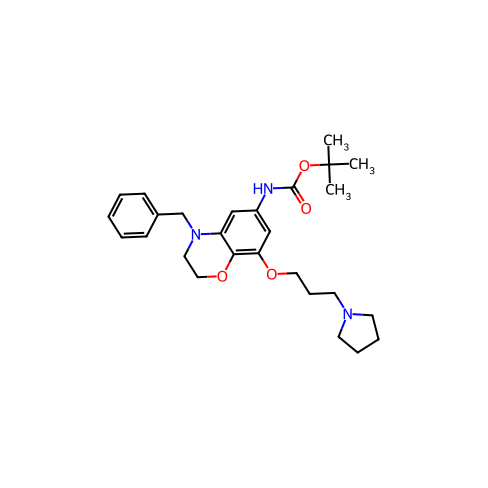 CC(C)(C)OC(=O)Nc1cc(OCCCN2CCCC2)c2c(c1)N(Cc1ccccc1)CCO2